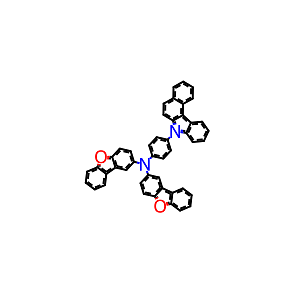 c1ccc2c(c1)ccc1c2c2ccccc2n1-c1ccc(N(c2ccc3oc4ccccc4c3c2)c2ccc3oc4ccccc4c3c2)cc1